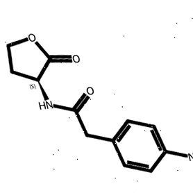 Nc1ccc(CC(=O)N[C@H]2CCOC2=O)cc1